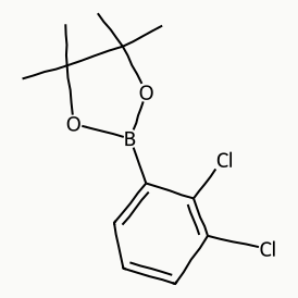 CC1(C)OB(c2cccc(Cl)c2Cl)OC1(C)C